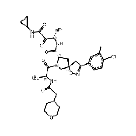 CCC[C@H](NC(=O)[C@@H]1C[C@]2(CC(c3ccc(Cl)c(C)c3)=NO2)CN1C(=O)[C@@H](NC(=O)CC1CCOCC1)C(C)(C)C)C(=O)C(=O)NC1CC1